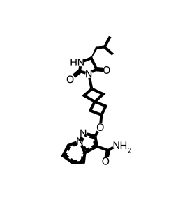 CC(C)C[C@@H]1NC(=O)N(C2CC3(CC(Oc4nn5ccccc5c4C(N)=O)C3)C2)C1=O